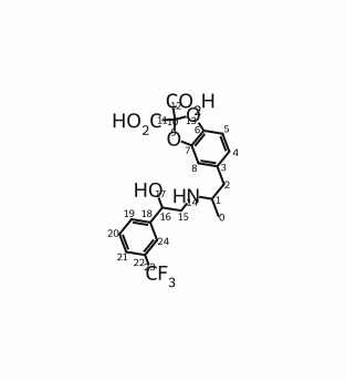 CC(Cc1ccc2c(c1)OC(C(=O)O)(C(=O)O)O2)NCC(O)c1cccc(C(F)(F)F)c1